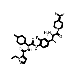 CCn1nccc1C(=O)N[C@H](C(=O)Nc1ccc([C@H](C)[C@@H](N)C(=O)N2CCC(=C(F)F)CC2)cc1F)C1CCC(C)CC1